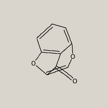 O=c1c2coc3cccc(c13)O2